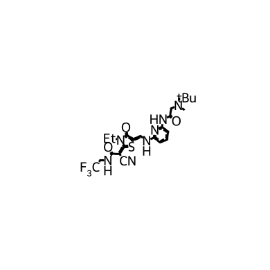 CCn1c(=C(C#N)C(=O)NCC(F)(F)F)sc(=CNc2cccc(NC(=O)CN(C)C(C)(C)C)n2)c1=O